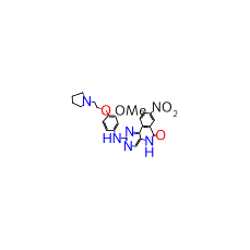 COc1cc(Nc2ncc3[nH]c(=O)c4cc([N+](=O)[O-])ccc4c3n2)ccc1OCCN1CCCC1